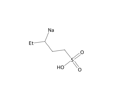 CC[CH]([Na])CCS(=O)(=O)O